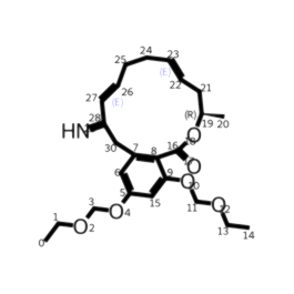 CCOCOc1cc2c(c(OCOCC)c1)C(=O)O[C@H](C)C/C=C/CC/C=C/C(=N)C2